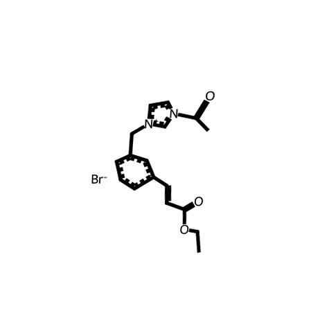 CCOC(=O)C=Cc1cccc(C[n+]2ccn(C(C)=O)c2)c1.[Br-]